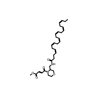 CC/C=C\C/C=C\C/C=C\C/C=C\C/C=C\C/C=C\CCC(=O)NCC1COCCN1C(=O)/C=C/C(=O)OC